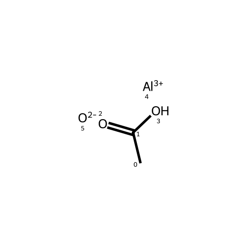 CC(=O)O.[Al+3].[O-2]